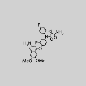 COc1cc2nc(N)cc(Oc3ccc(N(C(=O)C4(C(N)=O)CC4)c4ccc(F)cc4)cc3F)c2cc1OC